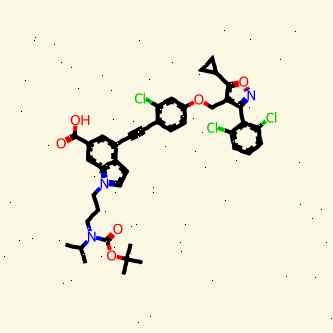 CC(C)N(CCCn1ccc2c(C#Cc3ccc(OCc4c(-c5c(Cl)cccc5Cl)noc4C4CC4)cc3Cl)cc(C(=O)O)cc21)C(=O)OC(C)(C)C